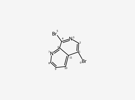 Brc1cnc(Br)c2ncccc12